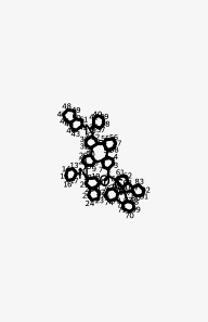 O=C(c1ccc2c(c1)-c1cc(N(c3ccccc3)c3ccc4ccccc4c3)ccc1-c1ccc(N(c3ccccc3)c3ccc4ccccc4c3)cc1-c1ccccc1-2)c1ccc2c(c1)C1(c3ccccc3-c3ccccc31)c1ccccc1-2